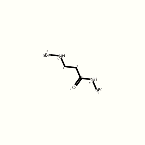 CCCCNCCC(=O)NCCC